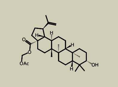 C=C(C)[C@@H]1CC[C@]2(C(=O)OCOC(C)=O)CC[C@]3(C)[C@H](CC[C@@H]4[C@@]5(C)CC[C@H](O)C(C)(C)[C@@H]5CC[C@]43C)[C@@H]12